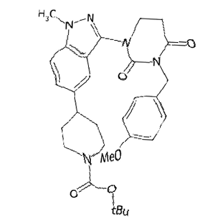 COc1ccc(CN2C(=O)CCN(c3nn(C)c4ccc(C5CCN(C(=O)OC(C)(C)C)CC5)cc34)C2=O)cc1